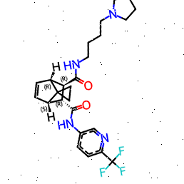 O=C(NCCCCN1CCCC1)[C@H]1[C@H](C(=O)Nc2ccc(C(F)(F)F)nc2)[C@@H]2C=C[C@H]1C21CC1